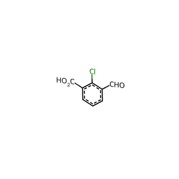 O=Cc1cccc(C(=O)O)c1Cl